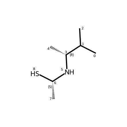 CC(C)[C@@H](C)N[C@H](C)S